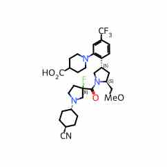 COC[C@@H]1C[C@@H](c2ccc(C(F)(F)F)cc2N2CCC(C(=O)O)CC2)CN1C(=O)[C@@]1(F)CCN([C@H]2CC[C@H](C#N)CC2)C1